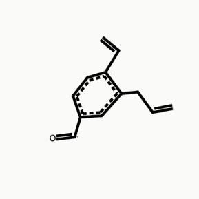 C=CCc1cc([C]=O)ccc1C=C